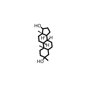 CC1(O)CC[C@@]2(C)C(CC[C@@H]3[C@H]2CC[C@]2(C)C(O)CC[C@@H]32)C1